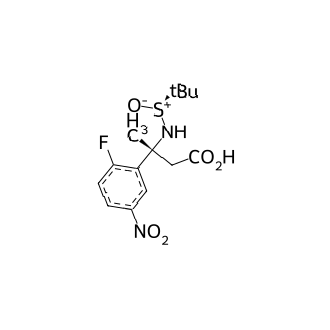 CC(C)(C)[S@+]([O-])N[C@](C)(CC(=O)O)c1cc([N+](=O)[O-])ccc1F